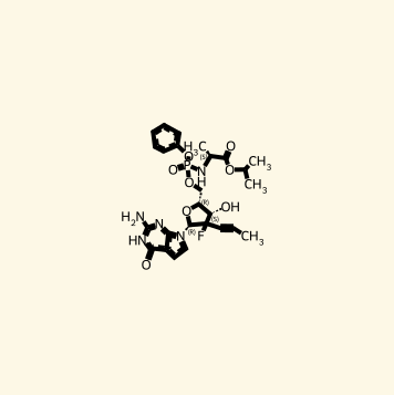 CC#CC1(F)[C@@H](O)[C@@H](COP(=O)(N[C@@H](C)C(=O)OC(C)C)Oc2ccccc2)O[C@H]1n1ccc2c(=O)[nH]c(N)nc21